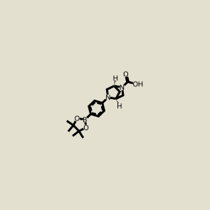 CC1(C)OB(c2ccc(N3C[C@@H]4C[C@H]3CN4C(=O)O)cc2)OC1(C)C